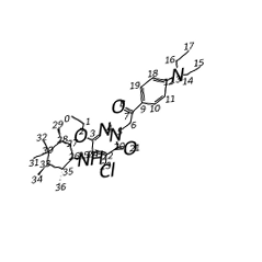 CCOc1nn(CC(=O)c2ccc(N(CC)CC)cc2)c(=O)c(Cl)c1N[C@@H]1C[C@H](C)C(C)(C)[C@H](C)[C@H]1C